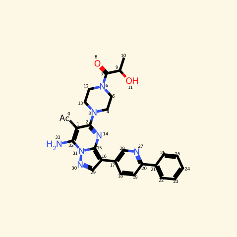 CC(=O)c1c(N2CCN(C(=O)C(C)O)CC2)nc2c(-c3ccc(-c4ccccc4)nc3)cnn2c1N